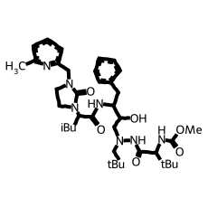 CCC(C)C(C(=O)NC(Cc1ccccc1)C(O)CN(CC(C)(C)C)NC(=O)C(NC(=O)OC)C(C)(C)C)N1CCN(Cc2cccc(C)n2)C1=O